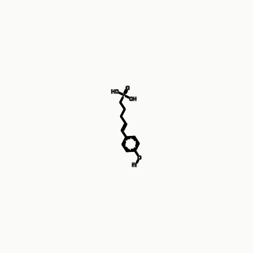 CCOc1ccc(C=CCCCP(=O)(O)O)cc1